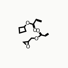 C=CC(=O)OC1CCC1.C=CC(=O)OCC1CO1